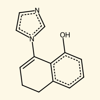 Oc1cccc2c1C(n1ccnc1)=CCC2